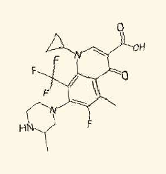 Cc1c(F)c(N2CCNC(C)C2)c(C(F)(F)F)c2c1c(=O)c(C(=O)O)cn2C1CC1